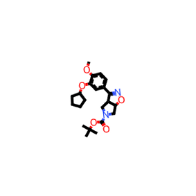 COc1ccc(C2=NOC3CN(C(=O)OC(C)(C)C)CC23)cc1OC1CCCC1